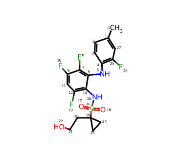 Cc1ccc(Nc2c(F)c(F)cc(F)c2NS(=O)(=O)C2(CCO)CC2)c(F)c1